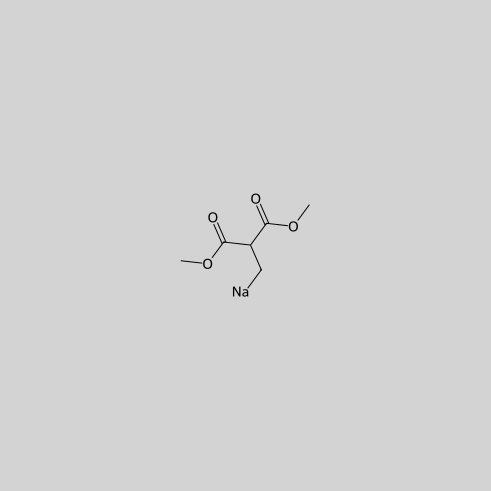 COC(=O)C([CH2][Na])C(=O)OC